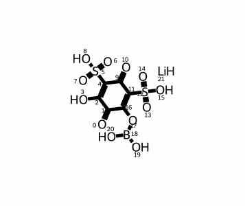 O=C1C(O)=C(S(=O)(=O)O)C(=O)C(S(=O)(=O)O)=C1OB(O)O.[LiH]